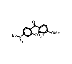 CCN(CC)c1ccc(C(=O)c2ccc(OC)cc2)c(C(=O)O)c1